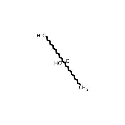 CCCCCCCCCCCCC(O)C(=O)CCCCCCCCCCC